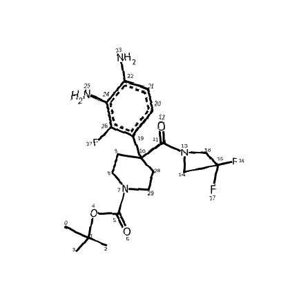 CC(C)(C)OC(=O)N1CCC(C(=O)N2CC(F)(F)C2)(c2ccc(N)c(N)c2F)CC1